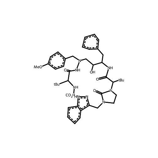 COc1ccc(CN(CC(O)C(Cc2ccccc2)NC(=O)C(N2CCN(Cc3n[nH]c4ccccc34)C2=O)C(C)(C)C)NC(=O)C(NC(=O)O)C(C)(C)C)cc1